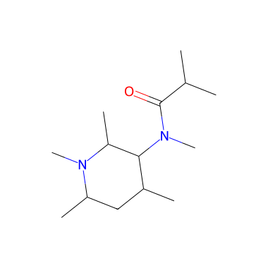 CC(C)C(=O)N(C)C1C(C)CC(C)N(C)C1C